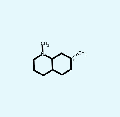 C[C@@H]1CCC2CCCN(C)C2C1